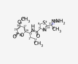 CCCC(NC(=O)C1CSC(/C(C)=N/N)=N1)c1cc(OC)cc(=O)o1